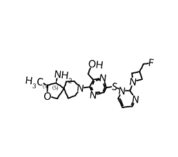 C[C@@H]1OCC2(CCN(c3ncc(SN4C=CC=NC4N4CC(CF)C4)nc3CO)CC2)[C@@H]1N